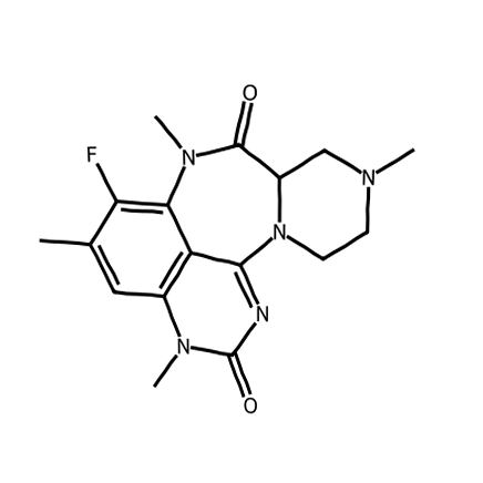 Cc1cc2c3c(nc(=O)n2C)N2CCN(C)CC2C(=O)N(C)c3c1F